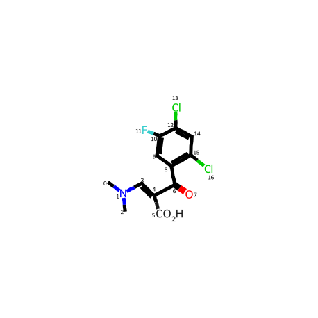 CN(C)C=C(C(=O)O)C(=O)c1cc(F)c(Cl)cc1Cl